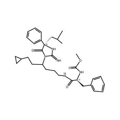 COC(=O)N[C@@H](Cc1ccccc1)C(=O)NCCCC(CCC1CC1)N1C(=N)N[C@](CC(C)C)(c2ccccc2)C1=O